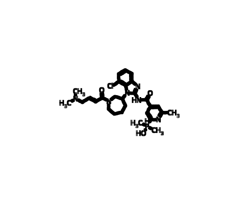 Cc1cc(C(=O)Nc2nc3cccc(Cl)c3n2C2CCCCN(C(=O)/C=C/CN(C)C)C2)cc([PH](C)(C)O)n1